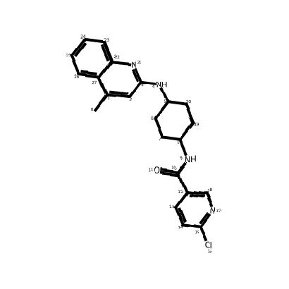 Cc1cc(NC2CCC(NC(=O)c3ccc(Cl)nc3)CC2)nc2ccccc12